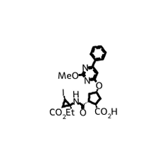 CCOC(=O)[C@@]1(NC(=O)[C@@H]2C[C@@H](Oc3cc(-c4ccccc4)nc(OC)n3)C[C@H]2C(=O)O)C[C@H]1I